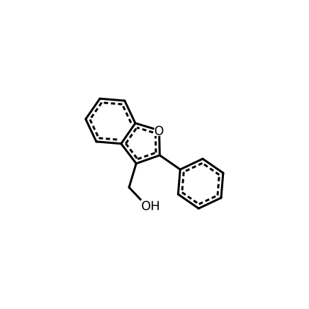 OCc1c(-c2ccccc2)oc2ccccc12